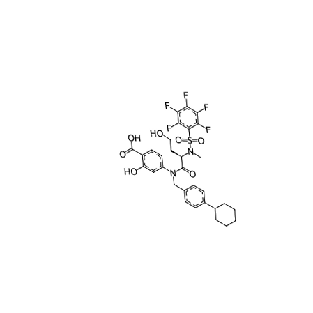 CN([C@H](CCO)C(=O)N(Cc1ccc(C2CCCCC2)cc1)c1ccc(C(=O)O)c(O)c1)S(=O)(=O)c1c(F)c(F)c(F)c(F)c1F